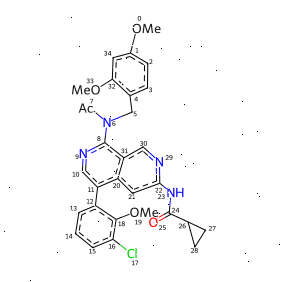 COc1ccc(CN(C(C)=O)c2ncc(-c3cccc(Cl)c3OC)c3cc(NC(=O)C4CC4)ncc23)c(OC)c1